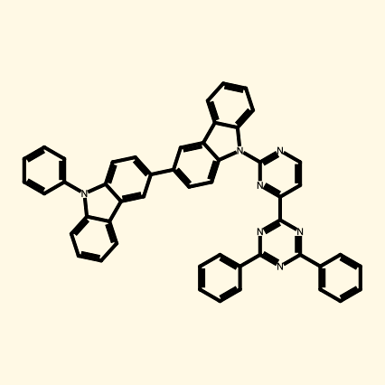 c1ccc(-c2nc(-c3ccccc3)nc(-c3ccnc(-n4c5ccccc5c5cc(-c6ccc7c(c6)c6ccccc6n7-c6ccccc6)ccc54)n3)n2)cc1